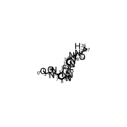 COCc1nc(-c2ccc3nnc(C(F)(F)c4ccc5nc(NC(=O)C6CC6)cn5n4)n3c2)no1